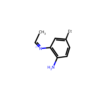 C/C=N\c1cc(CC)ccc1N